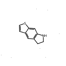 c1cc2cc3c(cc2s1)NCC3